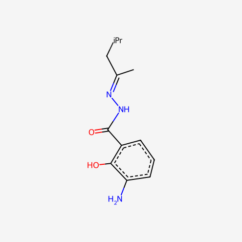 C/C(CC(C)C)=N\NC(=O)c1cccc(N)c1O